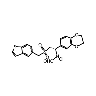 O=CN(O)[C@H](CS(=O)(=O)Cc1ccc2sccc2c1)c1ccc2c(c1)OCCO2